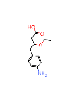 CCOC(CC(=O)O)Cc1ccc(N)cc1